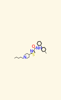 CCCCCN1CCC(c2nc(C(=O)Nc3ccccc3-c3ccc(C)cc3)cs2)CC1